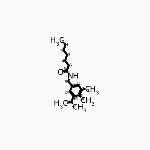 CCCCCCC(=O)NCc1cc(C)c(C)c(C(C)C)c1